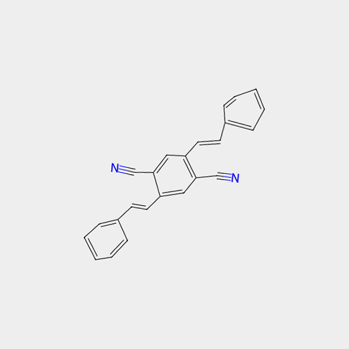 N#Cc1cc(/C=C/c2ccccc2)c(C#N)cc1/C=C/c1ccccc1